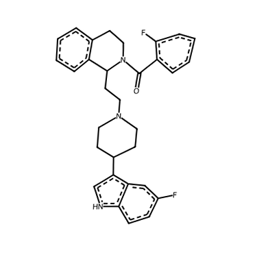 O=C(c1ccccc1F)N1CCc2ccccc2C1CCN1CCC(c2c[nH]c3ccc(F)cc23)CC1